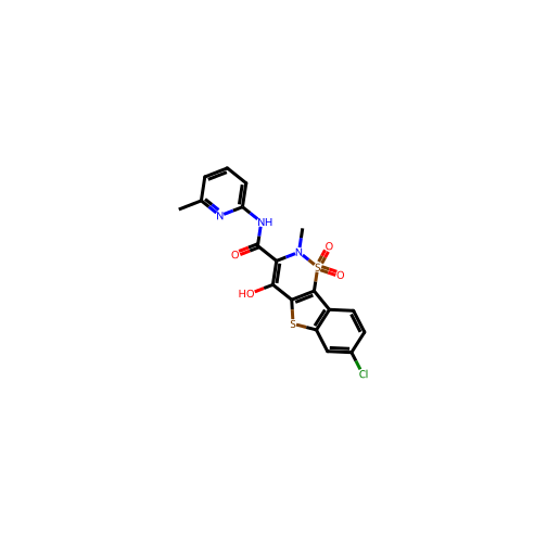 Cc1cccc(NC(=O)C2=C(O)c3sc4cc(Cl)ccc4c3S(=O)(=O)N2C)n1